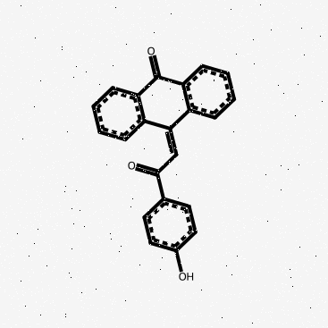 O=C(C=C1c2ccccc2C(=O)c2ccccc21)c1ccc(O)cc1